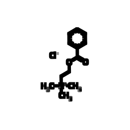 C[N+](C)(C)CCOC(=O)c1ccccc1.[Cl-]